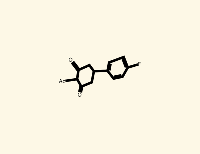 CC(=O)C1C(=O)CC(c2ccc(F)cc2)CC1=O